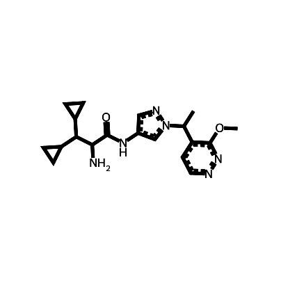 COc1nnccc1C(C)n1cc(NC(=O)C(N)C(C2CC2)C2CC2)cn1